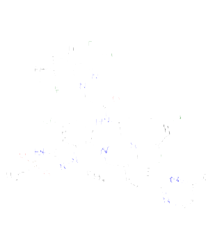 Cn1nc(NS(C)(=O)=O)c2c(Cl)ccc(N3Cc4ccc(-c5nccc(C(F)(F)F)n5)cc4N=C3C(Cc3cc(F)cc(F)c3)NC(=O)Cn3nc(C(F)F)c4c3C(F)(F)[C@@H]3C[C@H]43)c21